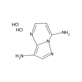 Cl.Cl.Nc1cnn2c(N)ccnc12